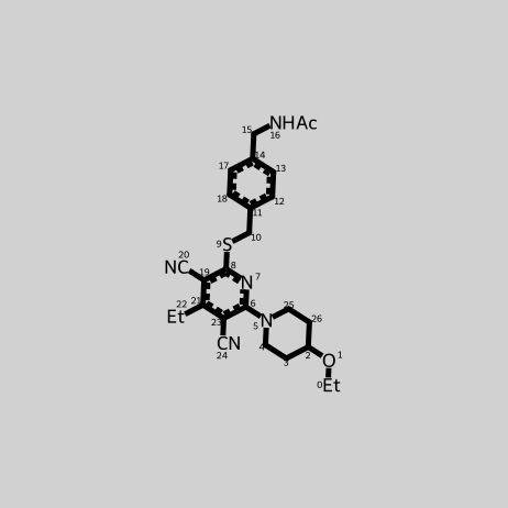 [CH2]COC1CCN(c2nc(SCc3ccc(CNC(C)=O)cc3)c(C#N)c(CC)c2C#N)CC1